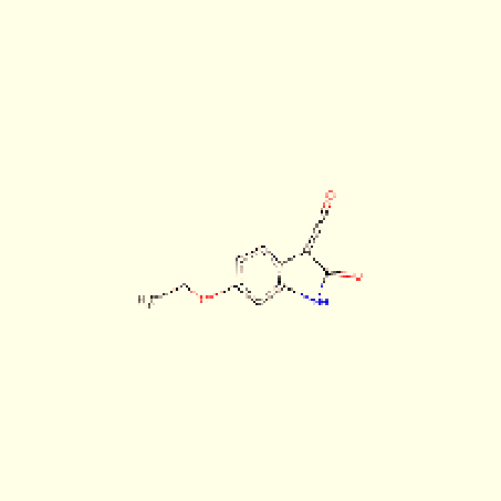 CCOc1ccc2c(c1)NC(=O)C2=C=O